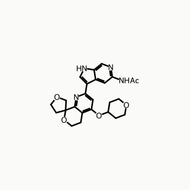 CC(=O)Nc1cc2c(-c3cc(OC4CCOCC4)c4c(n3)C3(CCOC3)OCC4)c[nH]c2cn1